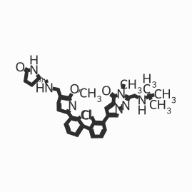 COc1nc(-c2cccc(-c3cccc(-c4cc5c(=O)n(C)c(CNC(C)(C)C)nn5c4)c3Cl)c2Cl)ccc1CNC[C@@H]1CCC(=O)N1